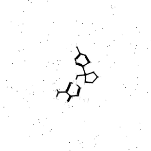 O=c1c(O)cn(CC2(c3ccc(Cl)cc3)CCCC2)cc1C(O)O